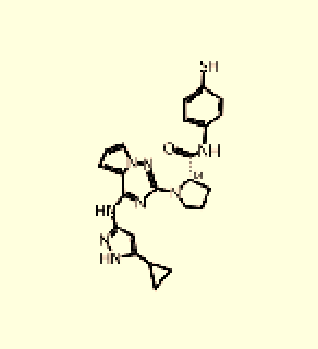 O=C(Nc1ccc(S)cc1)[C@@H]1CCCN1c1nc(Nc2cc(C3CC3)[nH]n2)c2cccn2n1